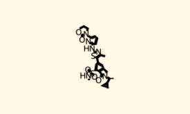 CNS(=O)(=O)c1cc(-c2sc(Nc3cccc(N4CCCOC4=O)n3)nc2C)cc2c1C(=O)N([C@@H](C)C1CC1)C2